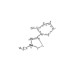 CN1CCC(c2ccccc2Cl)=N1